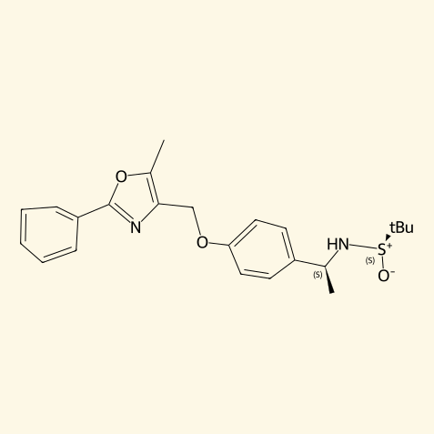 Cc1oc(-c2ccccc2)nc1COc1ccc([C@H](C)N[S@+]([O-])C(C)(C)C)cc1